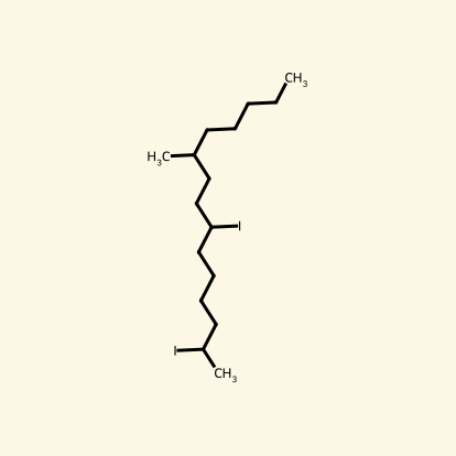 CCCCCC(C)CCC(I)CCCCC(C)I